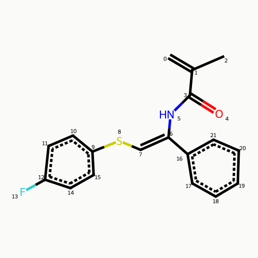 C=C(C)C(=O)NC(=CSc1ccc(F)cc1)c1ccccc1